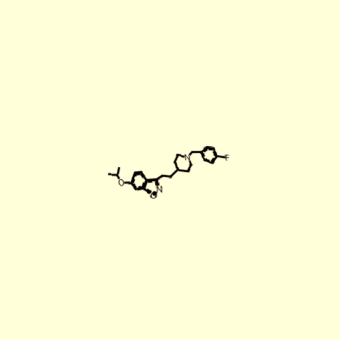 CC(C)Oc1ccc2c(CCC3CCN(Cc4ccc(F)cc4)CC3)noc2c1